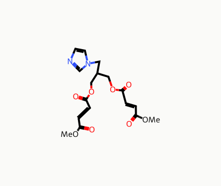 COC(=O)/C=C/C(=O)OCC(COC(=O)/C=C/C(=O)OC)Cn1ccnc1